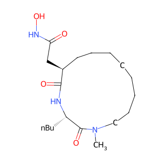 CCCC[C@@H]1NC(=O)[C@@H](CC(=O)NO)CCCCCCCCN(C)C1=O